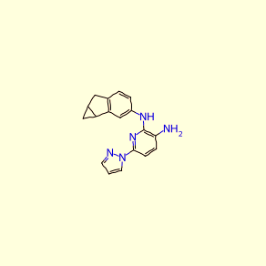 Nc1ccc(-n2cccn2)nc1Nc1ccc2c(c1)C1CC1C2